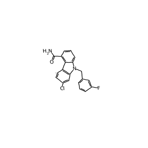 NC(=O)c1cccc2c1c1[c]cc(Cl)cc1n2Cc1cccc(F)c1